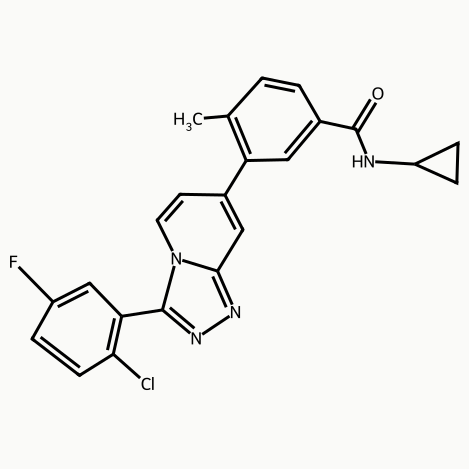 Cc1ccc(C(=O)NC2CC2)cc1-c1ccn2c(-c3cc(F)ccc3Cl)nnc2c1